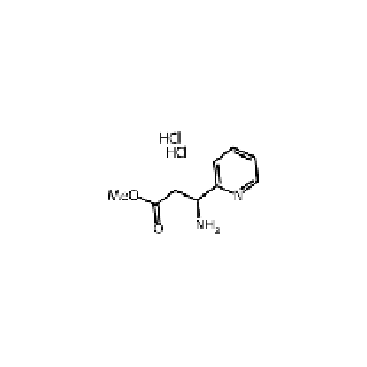 COC(=O)C[C@H](N)c1ccccn1.Cl.Cl